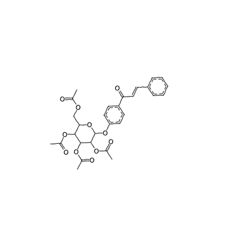 CC(=O)OCC1OC(Oc2ccc(C(=O)C=Cc3ccccc3)cc2)C(OC(C)=O)C(OC(C)=O)C1OC(C)=O